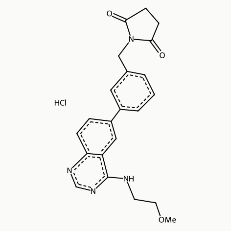 COCCNc1ncnc2ccc(-c3cccc(CN4C(=O)CCC4=O)c3)cc12.Cl